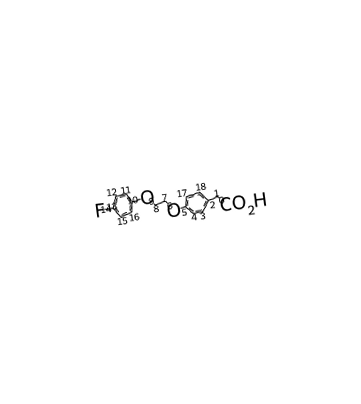 O=C(O)Cc1ccc(OCCOc2ccc(F)cc2)cc1